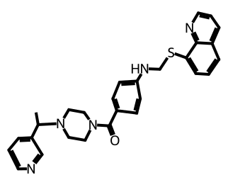 CC(c1cccnc1)N1CCN(C(=O)c2ccc(NCSc3cccc4cccnc34)cc2)CC1